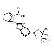 CB(O)N1C2CCC(C2)[C@H]1c1nc2ccc(B3OC(C)(C)C(C)(C)O3)cc2[nH]1